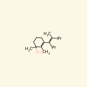 BC1(C)CCCC(/C(=C(\C)C(C)C)C(C)C)=C1C